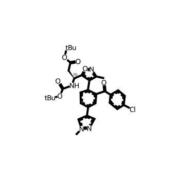 Cc1noc([C@H](CC(=O)OC(C)(C)C)NC(=O)OC(C)(C)C)c1-c1ccc(-c2cnn(C)c2)cc1C(=O)c1ccc(Cl)cc1